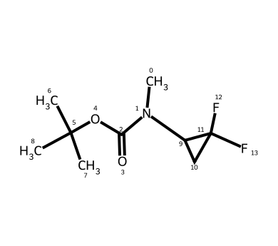 CN(C(=O)OC(C)(C)C)C1CC1(F)F